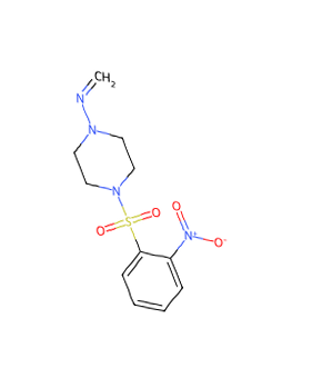 C=NN1CCN(S(=O)(=O)c2ccccc2[N+](=O)[O-])CC1